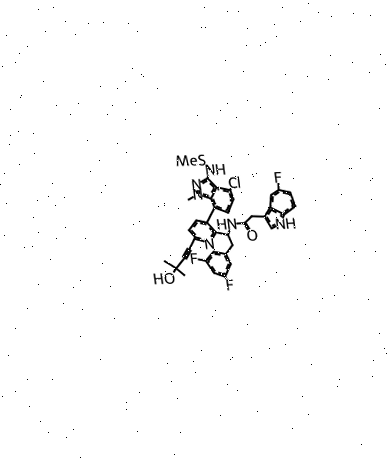 CSNc1nn(C)c2c(-c3ccc(C#CC(C)(C)O)nc3C(Cc3cc(F)cc(F)c3)NC(=O)Cc3c[nH]c4ccc(F)cc34)ccc(Cl)c12